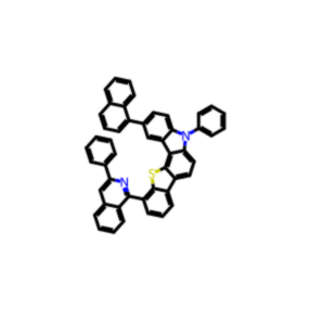 c1ccc(-c2cc3ccccc3c(-c3cccc4c3sc3c4ccc4c3c3cc(-c5cccc6ccccc56)ccc3n4-c3ccccc3)n2)cc1